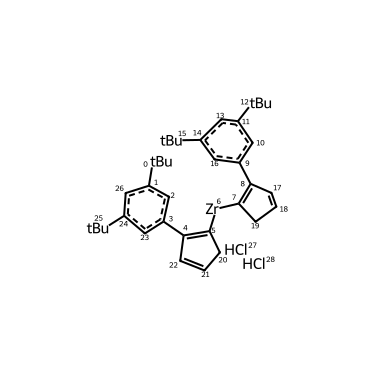 CC(C)(C)c1cc(C2=[C]([Zr][C]3=C(c4cc(C(C)(C)C)cc(C(C)(C)C)c4)C=CC3)CC=C2)cc(C(C)(C)C)c1.Cl.Cl